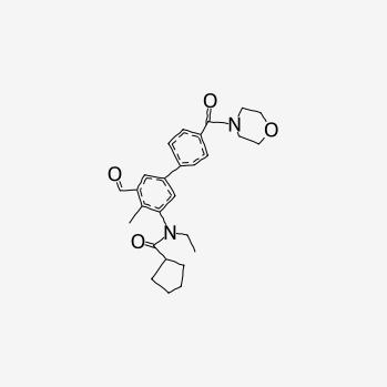 CCN(C(=O)C1CCCC1)c1cc(-c2ccc(C(=O)N3CCOCC3)cc2)cc(C=O)c1C